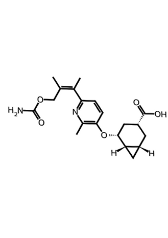 C/C(COC(N)=O)=C(\C)c1ccc(O[C@@H]2C[C@H](C(=O)O)C[C@@H]3C[C@@H]32)c(C)n1